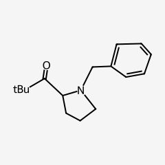 CC(C)(C)C(=O)C1CCCN1Cc1ccccc1